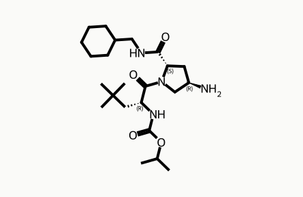 CC(C)OC(=O)N[C@H](CC(C)(C)C)C(=O)N1C[C@H](N)C[C@H]1C(=O)NCC1CCCCC1